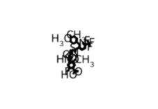 COc1cc(C(=O)O)c(F)cc1NS(=O)(=O)c1csc(-c2ccc(C(F)(F)F)nc2C2=CCC(C)(C)CC2)n1